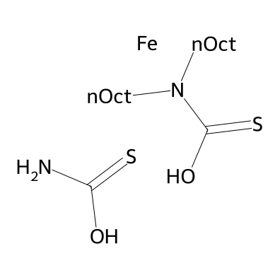 CCCCCCCCN(CCCCCCCC)C(O)=S.NC(O)=S.[Fe]